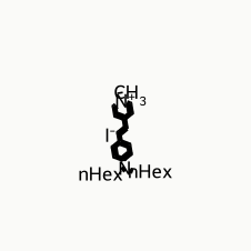 CCCCCCN(CCCCCC)c1ccc(/C=C/c2cc[n+](C)cc2)cc1.[I-]